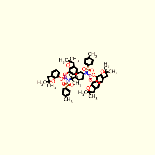 Cc1ccc(S(=O)(=O)N(C2CCC(C(C)(C)N(P(Oc3cccc4c3OC(C)(C)C4)Oc3cccc4c3OC(C)(C)C4)S(=O)(=O)c3ccc(C)cc3)CC2)P(Oc2cccc3c2OC(C)(C)C3)Oc2cccc3c2OC(C)(C)C3)cc1